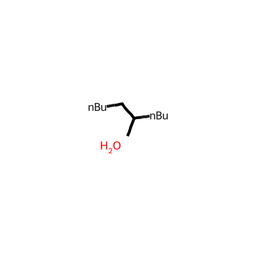 CCCCCC(C)CCCC.O